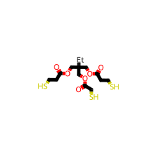 CCC(COC(=O)CS)(COC(=O)CCS)COC(=O)CCS